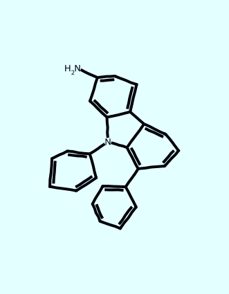 Nc1ccc2c3cccc(-c4ccccc4)c3n(-c3ccccc3)c2c1